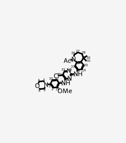 COc1cc(N2CCOCC2)ccc1Nc1nc(Nc2ccc3c(c2)N(C(C)=O)CCCC3(C)C)ncc1Cl